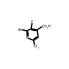 O=C(O)c1cc(C(F)(F)F)nc(Br)c1F